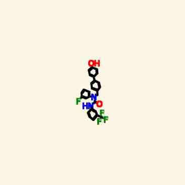 O=C(Nc1cccc(C(F)(F)F)c1)N(Cc1ccc(-c2ccc(O)cc2)cc1)c1cccc(F)c1